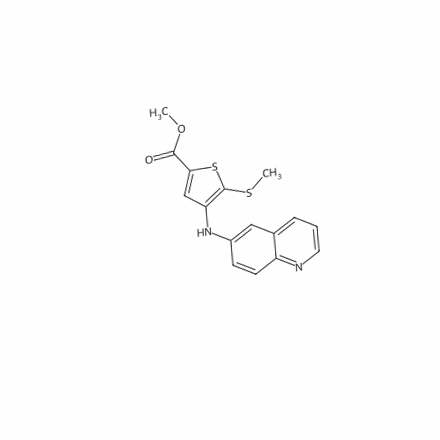 COC(=O)c1cc(Nc2ccc3ncccc3c2)c(SC)s1